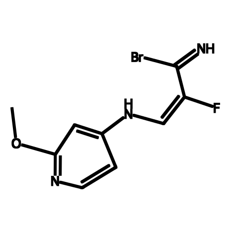 COc1cc(N/C=C(/F)C(=N)Br)ccn1